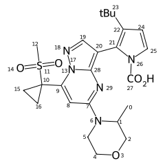 CC1COCCN1c1cc(C2(S(C)(=O)=O)CC2)n2ncc(-c3c(C(C)(C)C)ccn3C(=O)O)c2n1